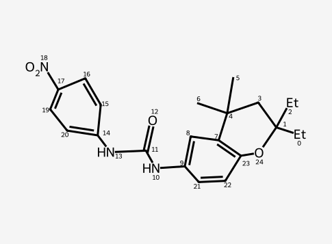 CCC1(CC)CC(C)(C)c2cc(NC(=O)Nc3ccc([N+](=O)[O-])cc3)ccc2O1